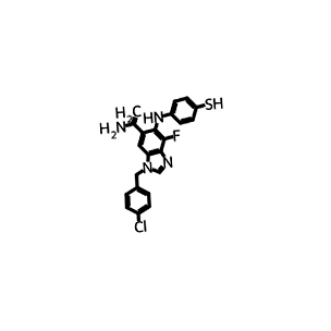 C=C(N)c1cc2c(ncn2Cc2ccc(Cl)cc2)c(F)c1Nc1ccc(S)cc1